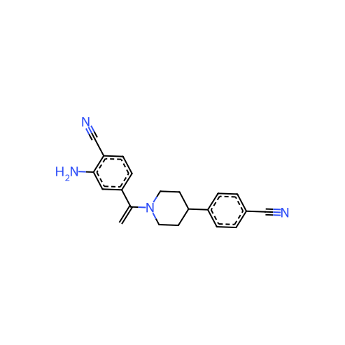 C=C(c1ccc(C#N)c(N)c1)N1CCC(c2ccc(C#N)cc2)CC1